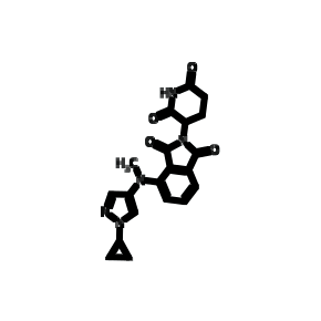 CN(c1cnn(C2CC2)c1)c1cccc2c1C(=O)N(C1CCC(=O)NC1=O)C2=O